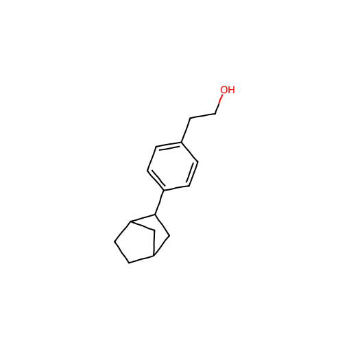 OCCc1ccc(C2CC3CCC2C3)cc1